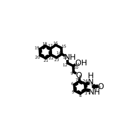 O=c1[nH]c2cccc(OCC(O)CNC3CCc4ccccc4C3)c2[nH]1